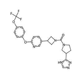 O=C(N1CC(c2ccc(Oc3ccc(OC(F)(F)F)cc3)nc2)C1)N1CCC(c2nnc[nH]2)C1